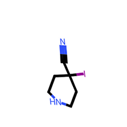 N#CC1(I)CCNCC1